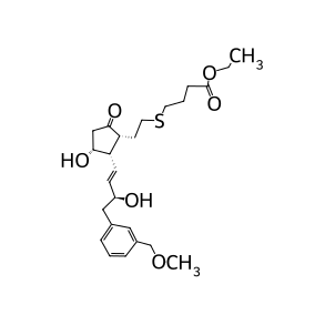 CCOC(=O)CCCSCC[C@H]1C(=O)C[C@@H](O)[C@H]1/C=C/[C@@H](O)Cc1cccc(COC)c1